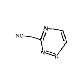 N#Cc1nc[c]nn1